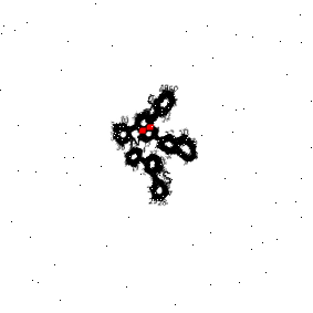 c1cc(-c2ccc3ccccc3c2)cc(N(c2cccc(-c3ccc4sc5ccccc5c4c3)c2)c2ccccc2-c2ccc3c(c2)sc2ccccc23)c1